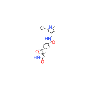 Cc1cc(CNC(=O)c2ccc([C@@H](C)[C@]3(C)CC(=O)NC3=O)cc2)cc(C2CCC2)n1